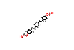 OCOc1ccc(CCC2CCC(CCc3ccc(OCO)cc3)CC2)cc1